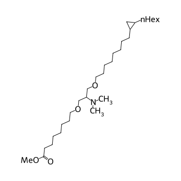 CCCCCCC1CC1CCCCCCCCOCC(COCCCCCCCC(=O)OC)N(C)C